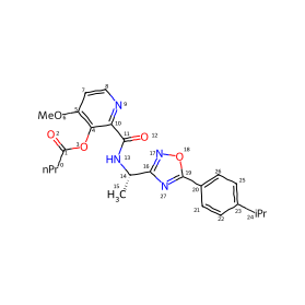 CCCC(=O)Oc1c(OC)ccnc1C(=O)N[C@@H](C)c1noc(-c2ccc(C(C)C)cc2)n1